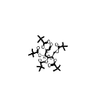 CC(C)(C)C(=O)OC[C@@H](OC(=O)C(C)(C)C)[C@@H](OC(=O)C(C)(C)C)[C@H](OC(=O)C(C)(C)C)[C@@H](C=O)OC(=O)C(C)(C)C